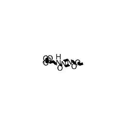 CCOC(=O)CN1CCN(C(=O)NCCC[Si](OC)(OC)OC)CC1